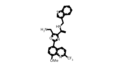 C=C(NCc1csc2ccccc12)c1nc(-c2ccc(OC)c3nc(C(F)(F)F)ccc23)oc1CN